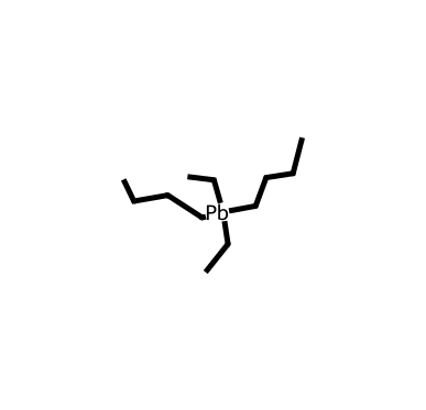 CCC[CH2][Pb]([CH2]C)([CH2]C)[CH2]CCC